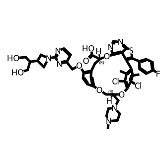 Cc1c(Cl)c2c(Cl)c(C)c1-c1c(-c3ccc(F)cc3)sc3ncnc(c13)O[C@@H](C(=O)O)Cc1cc(ccc1OCc1ccnc(N3CC(C(CO)CO)C3)n1)OC[C@@H](CN1CCN(C)CC1)O2